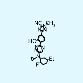 CC[C@@H]1CC[C@H](F)[C@H](N(c2cnc(-c3ccc(-c4nc(C#N)n(C)n4)cc3O)nn2)C2CC2)C1